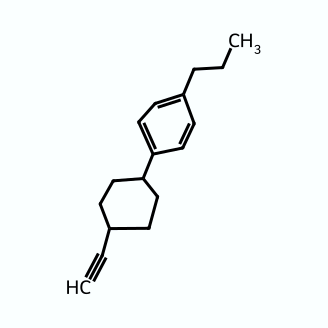 C#CC1CCC(c2ccc(CCC)cc2)CC1